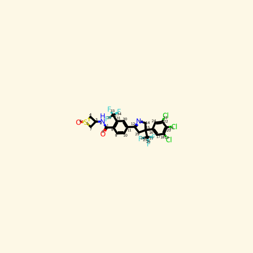 O=C(NC1C[S+]([O-])C1)c1ccc(C2=NCC(c3cc(Cl)c(Cl)c(Cl)c3)(C(F)(F)F)C2)cc1C(F)(F)F